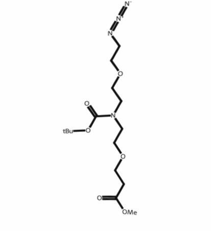 COC(=O)CCOCCN(CCOCCN=[N+]=[N-])C(=O)OC(C)(C)C